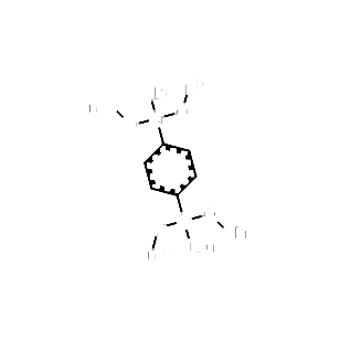 CCCO[Si](OCCC)(c1ccc([Si](OCCC)(OCCC)C(C)(C)C)cc1)C(C)(C)C